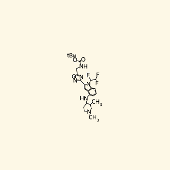 CC1CN(C)CCC1Nc1cccc2c1cc(-c1noc(CNC(=O)OC(C)(C)C)n1)n2C(F)C(F)F